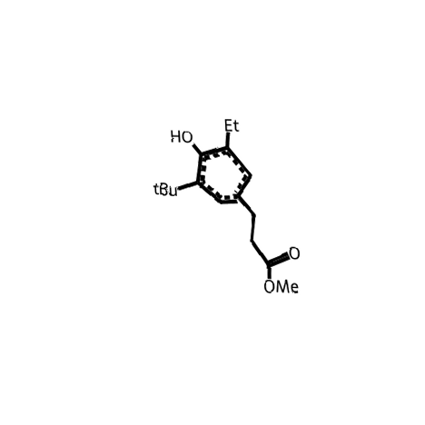 CCc1cc(CCC(=O)OC)cc(C(C)(C)C)c1O